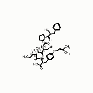 CC[C@H](C)[C@@H](C(=O)N[C@@H](Cc1ccc(OCC=C(C)C)cc1)C(=O)O)N(C)C(=O)[C@H](CO)NC(=O)[C@@H]1CCCN1C(=O)C(O)Cc1ccccc1